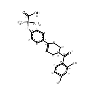 CC(C)(Oc1ccc(C2=CCN(C(=O)c3ccc(F)cc3F)CC2)cc1)C(=O)O